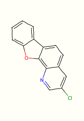 Clc1cnc2c(ccc3c4ccccc4oc32)c1